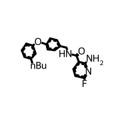 CCCCc1cccc(Oc2ccc(CNC(=O)c3ccc(F)nc3N)cc2)c1